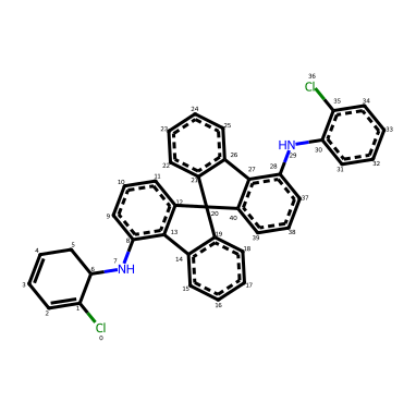 ClC1=CC=CCC1Nc1cccc2c1-c1ccccc1C21c2ccccc2-c2c(Nc3ccccc3Cl)cccc21